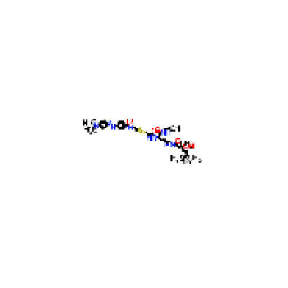 C#CCNC(=O)C(CCCCNC(=O)CC(C)(O)CCC(C)[SiH2]C(C)C)NC(=O)CCSSCCNC(=O)c1ccc(/N=N/c2ccc(N(C)C)cc2)cc1